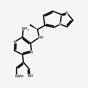 CN/C=C(\C=N)c1cnc(N)c(N[C@@H](C)c2ccc3nccn3c2)n1